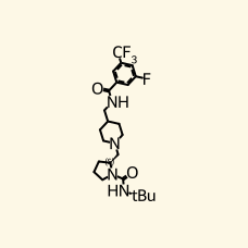 CC(C)(C)NC(=O)N1CCC[C@H]1CN1CCC(CNC(=O)c2cc(F)cc(C(F)(F)F)c2)CC1